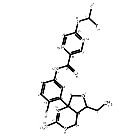 CCC1OCC2(c3cc(NC(=O)c4cnc(OC(F)F)cn4)ccc3F)N=C(N)SCC12